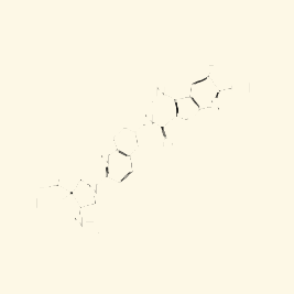 Cc1nc2sc(C(=O)NC3CCc4nc(N5CC(N)C(C)(C(F)F)C5)ccc4C3)c(N)c2cc1F